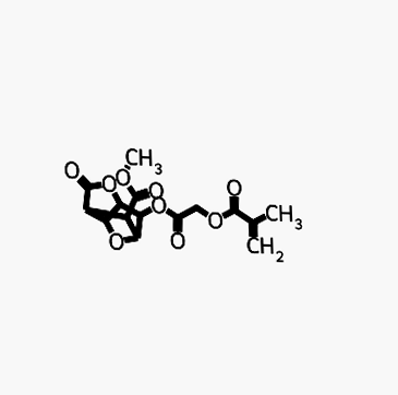 C=C(C)C(=O)OCC(=O)OC1C2OC(=O)C3C2OC1C3C(=O)OC